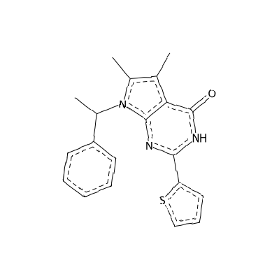 Cc1c(C)n(C(C)c2ccccc2)c2nc(-c3cccs3)[nH]c(=O)c12